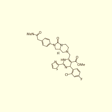 CNC(=O)Cc1ccc(N2C[C@@H]3CN(CC4=C(C(=O)OC)C(c5ccc(F)cc5Cl)N=C(c5nccs5)N4)CCN3C2=O)cc1